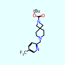 CC(C)(C)OC(=O)N1CC2(CCN(Cc3ccc(C(F)(F)F)cn3)CC2)C1